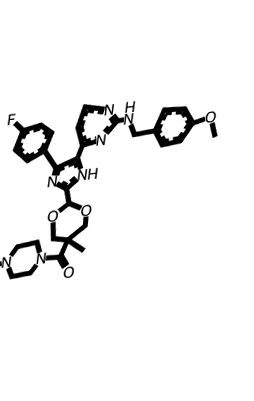 COc1ccc(CNc2nccc(-c3[nH]c(C4OCC(C)(C(=O)N5CCN(C)CC5)CO4)nc3-c3ccc(F)cc3)n2)cc1